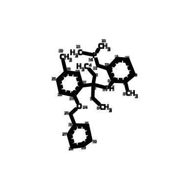 CCC(CC)(Pc1c(C)cccc1CP(C)C)c1cc(C)ccc1OCc1ccccc1